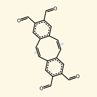 O=Cc1cc2c(cc1C=O)/C=C\c1cc(C=O)c(C=O)cc1/C=C\2